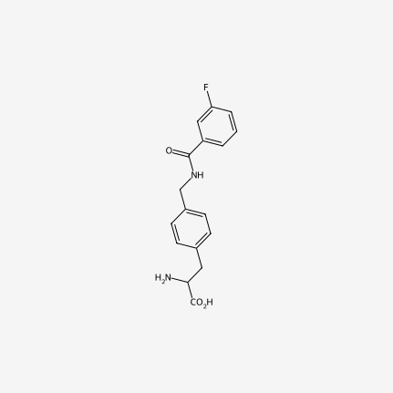 NC(Cc1ccc(CNC(=O)c2cccc(F)c2)cc1)C(=O)O